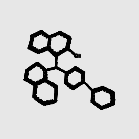 Oc1ccc2ccccc2c1C(c1ccc(-c2ccccc2)cc1)c1cccc2ccccc12